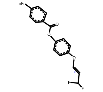 CCCc1ccc(C(=O)Oc2ccc(O/C=C/C(F)F)cc2)cc1